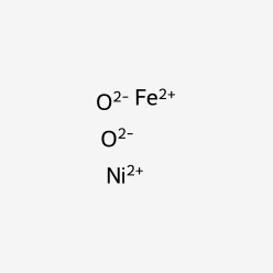 [Fe+2].[Ni+2].[O-2].[O-2]